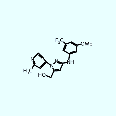 COc1cc(Nc2cc(CO)n(-c3ccnc(C)c3)n2)cc(C(F)(F)F)c1